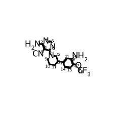 [C-]#[N+]c1c(N)ncnc1N1CCCC(c2ccc(OC(F)(F)F)c(N)c2)C1